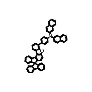 c1ccc2c(c1)-c1ccccc1C21c2ccccc2-c2c1ccc1oc3c(-c4ccc(N(c5ccc6ccccc6c5)c5ccc6ccccc6c5)cc4)cccc3c21